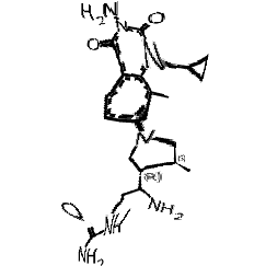 Cc1c(N2C[C@@H](C)[C@@H](C(N)CNC(N)=O)C2)ccc2c(=O)n(N)c(=O)n(C3CC3)c12